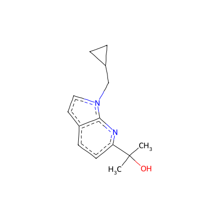 CC(C)(O)c1ccc2ccn(CC3CC3)c2n1